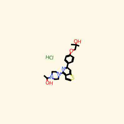 CC(O)N1CCN(c2nc(-c3ccc(OCC(C)(C)O)cc3)cc3sccc23)CC1.Cl